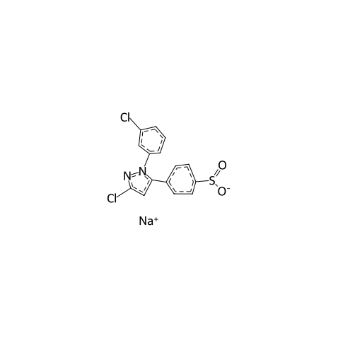 O=S([O-])c1ccc(-c2cc(Cl)nn2-c2cccc(Cl)c2)cc1.[Na+]